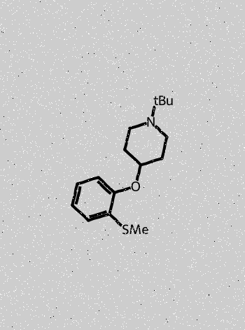 CSc1ccccc1OC1CCN(C(C)(C)C)CC1